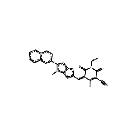 CCN1C(=O)C(C#N)=C(C)/C(=C/c2cc3c(nc(-c4ccc5ccccc5c4)n3C)s2)C1=O